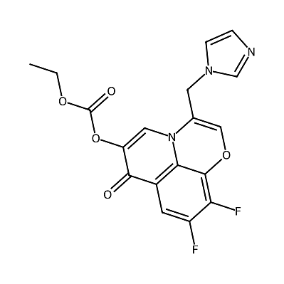 CCOC(=O)Oc1cn2c3c(c(F)c(F)cc3c1=O)OC=C2Cn1ccnc1